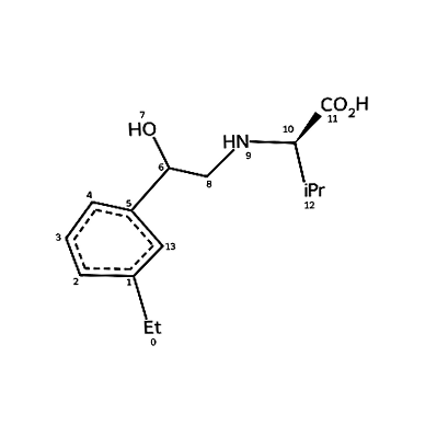 CCc1cccc(C(O)CN[C@@H](C(=O)O)C(C)C)c1